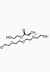 C=CC(=O)OCCO.OCCOCCOCCOCCO